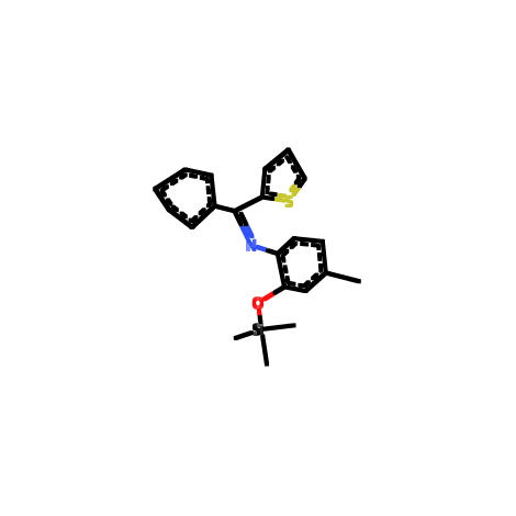 Cc1ccc(N=C(c2ccccc2)c2cccs2)c(O[Si](C)(C)C)c1